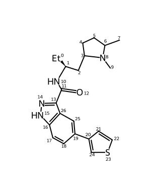 CC[C@@H](CC1CCC(C)N1C)NC(=O)c1n[nH]c2ccc(-c3ccsc3)cc12